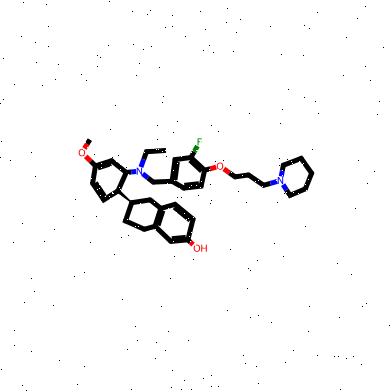 CCN(Cc1ccc(OCCCN2CCCCC2)c(F)c1)C1C=C(OC)C=CC1[C@@H]1CCc2cc(O)ccc2C1